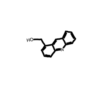 OCc1cccc2nc3ccccc3cc12